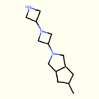 CC1CC2CN(C3CN(C4CNC4)C3)CC2C1